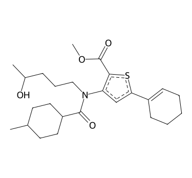 COC(=O)c1sc(C2=CCCCC2)cc1N(CCCC(C)O)C(=O)C1CCC(C)CC1